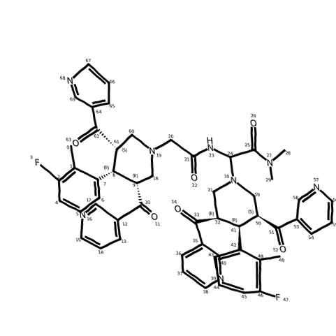 Cc1c(F)cccc1[C@H]1[C@@H](C(=O)c2cccnc2)CN(CC(=O)NC(C(=O)N(C)C)N2C[C@H](C(=O)c3cccnc3)[C@H](c3cccc(F)c3C)[C@H](C(=O)c3cccnc3)C2)C[C@H]1C(=O)c1cccnc1